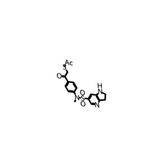 CC(=O)SCC(=O)c1ccc(N(C)S(=O)(=O)c2cnc3c(c2)NCC3)cc1